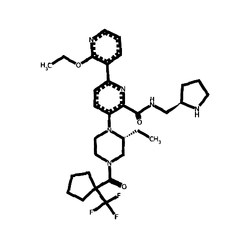 CCOc1ncccc1-c1ccc(N2CCN(C(=O)C3(C(F)(F)F)CCCC3)C[C@H]2CC)c(C(=O)NC[C@H]2CCCN2)n1